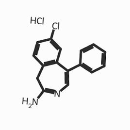 Cl.NC1=NC=C(c2ccccc2)c2cc(Cl)ccc2C1